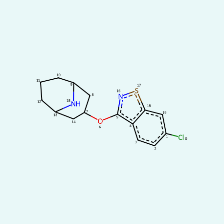 Clc1ccc2c(OC3CC4CCCC(C3)N4)nsc2c1